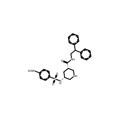 CC(=O)Nc1ccc(S(=O)(=O)N[C@H]2CNC[C@@H](C(=O)NCC(c3ccccc3)c3ccccc3)C2)cc1